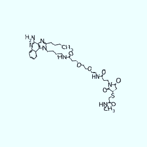 CCCCc1nc2c(N)nc3ccccc3c2n1CCCCNC(=O)CCOCCOCCNC(=O)CCN1C(=O)CC(SCC(=O)NC)C1=O